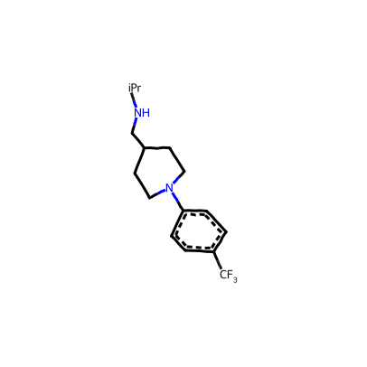 CC(C)NCC1CCN(c2ccc(C(F)(F)F)cc2)CC1